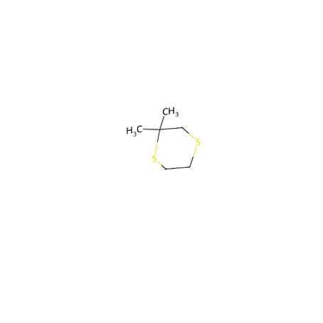 CC1(C)CSCCS1